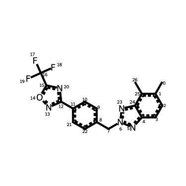 Cc1ccc2nn(Cc3ccc(-c4noc(C(F)(F)F)n4)cc3)nc2c1C